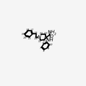 NC(=O)C1(Nc2ccccc2)CCN(CCc2ccccc2)CC1